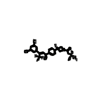 CS(=O)(=O)CC(=O)N1CC(F)(c2ccc(C(=O)C=C(c3cc(Cl)cc(Cl)c3)C(F)(F)F)cc2)C1